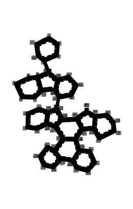 c1ccc(-n2c3ccccc3c3c(-n4c5ccccc5c5c6c7ccccc7c7ccccc7c6c6c7ccccc7sc6c54)cccc32)cc1